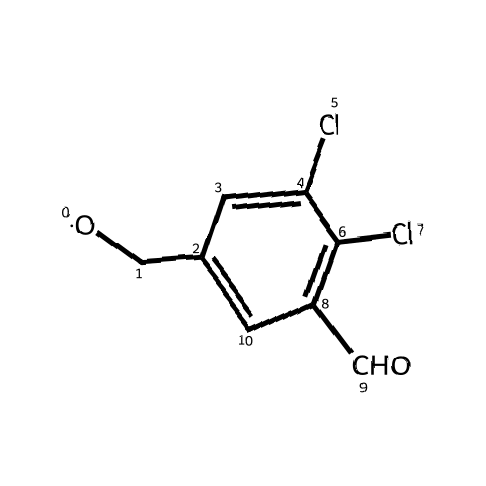 [O]Cc1cc(Cl)c(Cl)c(C=O)c1